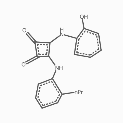 CCCc1ccccc1Nc1c(Nc2ccccc2O)c(=O)c1=O